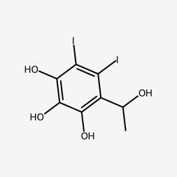 CC(O)c1c(O)c(O)c(O)c(I)c1I